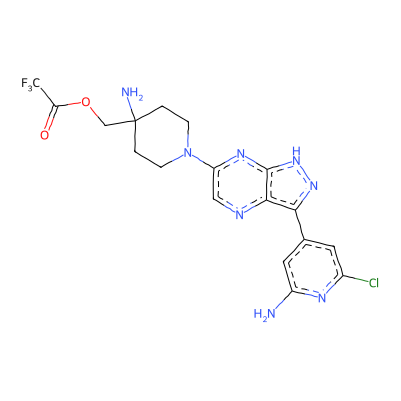 Nc1cc(-c2n[nH]c3nc(N4CCC(N)(COC(=O)C(F)(F)F)CC4)cnc23)cc(Cl)n1